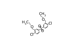 CCCOCc1cc(S(=O)(=O)c2ccc(Cl)c(COCCC)c2)ccc1Cl